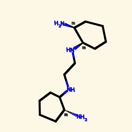 N[C@@H]1CCCCC1NCCN[C@@H]1CCCC[C@@H]1N